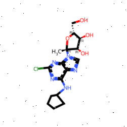 C[C@@]1(n2cnc3c(NC4CCCC4)nc(Cl)nc32)O[C@H](CO)[C@@H](O)[C@H]1O